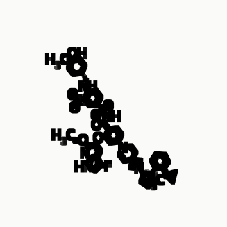 CCOc1nc2[nH]cc(F)c2cc1Oc1cc(N2CCC3(CC2)CN([C@@H]2CCC[C@@H]2c2ccccc2C2(C)CC2)C3)ccc1C(=O)NS(=O)(=O)c1ccc(NC[C@H]2CC[C@](C)(O)CC2)c([N+](=O)[O-])c1